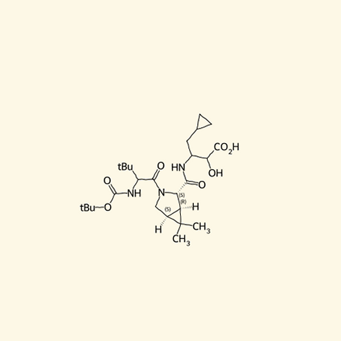 CC(C)(C)OC(=O)NC(C(=O)N1C[C@H]2[C@@H]([C@H]1C(=O)NC(CC1CC1)C(O)C(=O)O)C2(C)C)C(C)(C)C